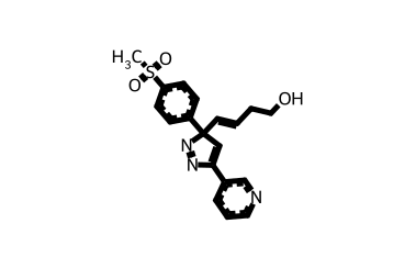 CS(=O)(=O)c1ccc(C2(C=CCCO)C=C(c3cccnc3)N=N2)cc1